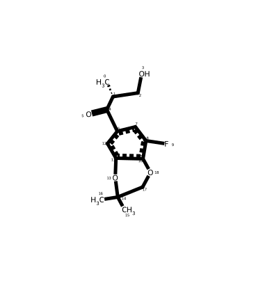 C[C@H](CO)C(=O)c1cc(F)c2c(c1)OC(C)(C)CO2